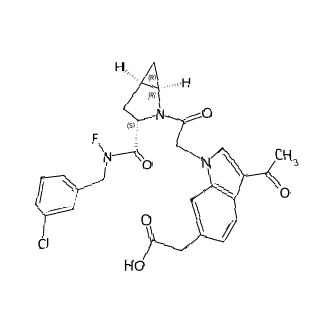 CC(=O)c1cn(CC(=O)N2[C@@H]3C[C@@H]3C[C@H]2C(=O)N(F)Cc2cccc(Cl)c2)c2cc(CC(=O)O)ccc12